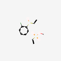 C=CS(=O)(=O)OC.C=C[S+]([O-])c1ccccc1Cl